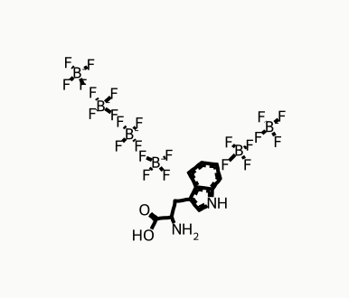 F[B-](F)(F)F.F[B-](F)(F)F.F[B-](F)(F)F.F[B-](F)(F)F.F[B-](F)(F)F.F[B-](F)(F)F.NC(Cc1c[nH]c2ccccc12)C(=O)O